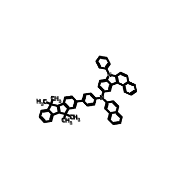 CC1(C)C2=C(c3ccccc31)C(C)(C)c1cc(-c3ccc(N(c4ccc5ccccc5c4)c4ccc5c(c4)c4c6ccccc6ccc4n5-c4ccccc4)cc3)ccc12